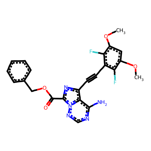 COc1cc(OC)c(F)c(C#Cc2nc(C(=O)OCc3ccccc3)n3ncnc(N)c23)c1F